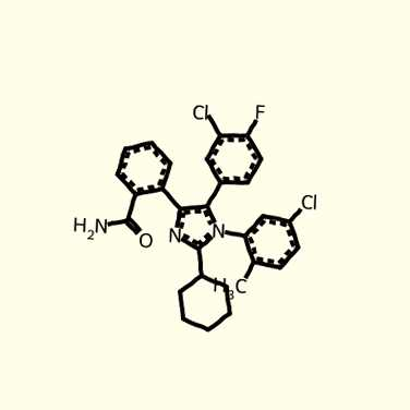 Cc1ccc(Cl)cc1-n1c(C2CCCCC2)nc(-c2ccccc2C(N)=O)c1-c1ccc(F)c(Cl)c1